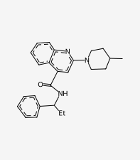 CCC(NC(=O)c1cc(N2CCC(C)CC2)nc2ccccc12)c1ccccc1